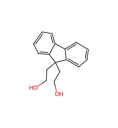 OCCC1(CCO)c2ccccc2-c2ccccc21